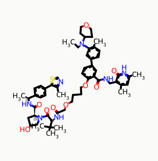 CCN(c1cc(-c2ccc(OCCCCOCC(=O)N[C@H](C(=O)N3C[C@H](O)C[C@H]3C(=O)N[C@@H](C)c3ccc(-c4scnc4C)cc3)C(C)(C)C)c(C(=O)NCc3c(C)cc(C)[nH]c3=O)c2)ccc1C)C1CCOCC1